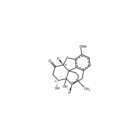 COc1ccc2c3c1O[C@H]1C(=O)C[C@@H](O)C4(O)[C@@H](C2)N(C)CCC314